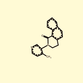 Cc1ccncc1N1CCc2ccc3ccccc3c2C1=O